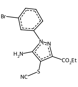 CCOC(=O)c1nn(-c2cccc(Br)c2)c(N)c1SC#N